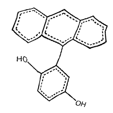 Oc1ccc(O)c(-c2c3ccccc3cc3ccccc23)c1